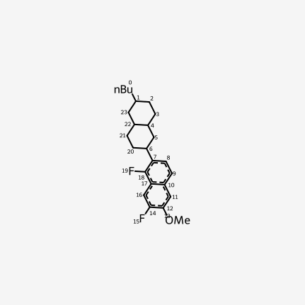 CCCCC1CCC2CC(c3ccc4cc(OC)c(F)cc4c3F)CCC2C1